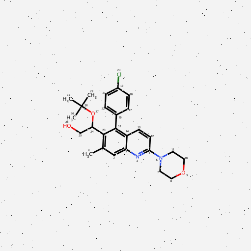 Cc1cc2nc(N3CCOCC3)ccc2c(-c2ccc(Cl)cc2)c1C(CO)OC(C)(C)C